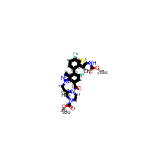 CC(C)(C)OC(=O)Nc1sc2c(F)ccc(-c3c(F)cc4c5c3cnn5CC[C@@H]3CN(C(=O)OC(C)(C)C)CCN3C4=O)c2c1C#N